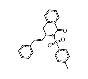 Cc1ccc(S(=O)(=O)N2C(=O)c3ccccc3CC2C=Cc2ccccc2)cc1